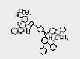 C/C=C\c1c(C)ccc2c1Oc1c(ccc3c1CCC=C3)C21c2ccccc2-c2c(-c3ccc(N(c4ccc(C5=CCCC=C5)c(-c5ccccc5)c4)c4ccc5c(c4)C(C)(C)c4ccccc4-5)cc3)cccc21